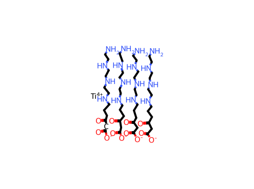 NCCNCCNCCNCCCC(=O)CC(=O)[O-].NCCNCCNCCNCCCC(=O)CC(=O)[O-].NCCNCCNCCNCCCC(=O)CC(=O)[O-].NCCNCCNCCNCCCC(=O)CC(=O)[O-].[Ti+4]